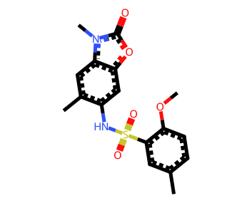 COc1ccc(C)cc1S(=O)(=O)Nc1cc2oc(=O)n(C)c2cc1C